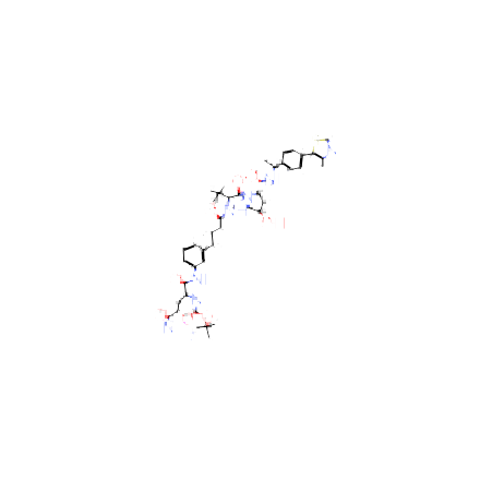 Cc1ncsc1-c1ccc(C(C)NC(=O)[C@@H]2C[C@@H](O)CN2C(=O)C(NC(=O)CCCc2cccc(NC(=O)C(CCC(N)=O)NC(=O)OC(C)(C)C)c2)C(C)(C)C)cc1